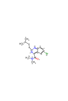 CC(C)CCc1nc(C(=O)N(C)C)c2cc(Br)ccc2n1